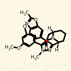 COc1cc(Cl)cc(-c2c3c(nn2C)[C@H]2CCC[C@@H](C3)N2C(=O)c2ccc3nc(C)oc3c2)c1